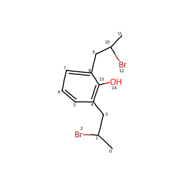 CC(Br)Cc1cccc(CC(C)Br)c1O